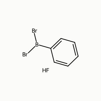 BrB(Br)c1ccccc1.F